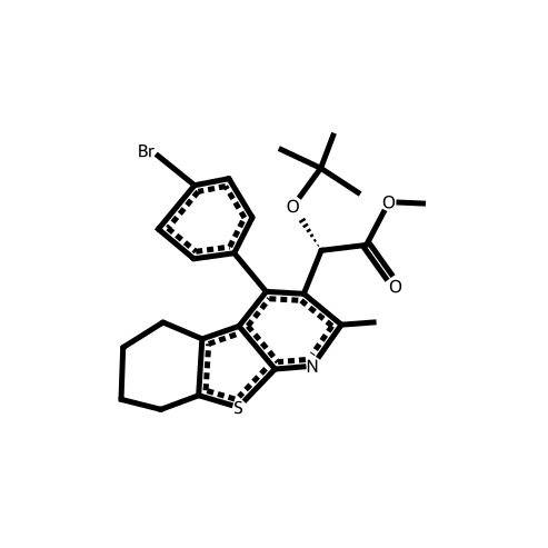 COC(=O)[C@@H](OC(C)(C)C)c1c(C)nc2sc3c(c2c1-c1ccc(Br)cc1)CCCC3